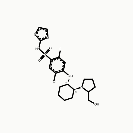 O=S(=O)(Nc1nccs1)c1cc(Cl)c(N[C@H]2CCCC[C@@H]2N2CCCC2CO)cc1F